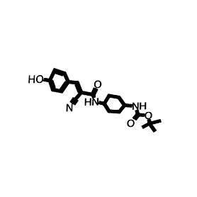 CC(C)(C)OC(=O)NC1CCC(NC(=O)/C(C#N)=C/c2ccc(O)cc2)CC1